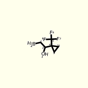 BCC(O)C1(C(F)(F)F)CC1